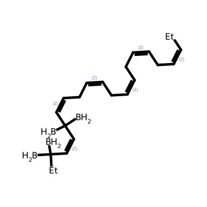 BC(B)(/C=C\C/C=C\C/C=C\C/C=C\C/C=C\CC)/C=C\C(B)(B)CC